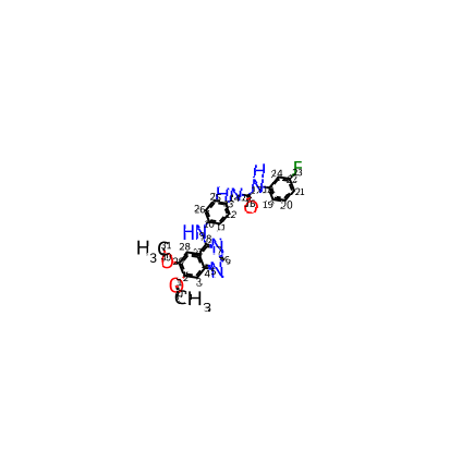 COc1cc2ncnc(Nc3ccc(NC(=O)Nc4cccc(F)c4)cc3)c2cc1OC